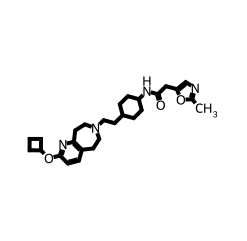 Cc1ncc(CC(=O)NC2CCC(CCN3CCc4ccc(OC5CCC5)nc4CC3)CC2)o1